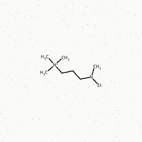 CCN(C)CCC[N+](C)(C)C